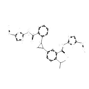 CC(C)c1ccc(C2CC2c2ccccc2C(=O)Nc2ncc(N=O)s2)cc1C(=O)Nc1ncc(N=O)s1